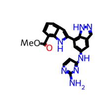 COC(=O)c1cccc2cc(-c3cc(Nc4ccnc(N)n4)cc4cn[nH]c34)[nH]c12